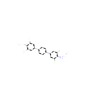 CCCc1c(F)cc(-c2ccc(-c3cc(F)c(N=C=S)c(F)c3)cc2)cc1F